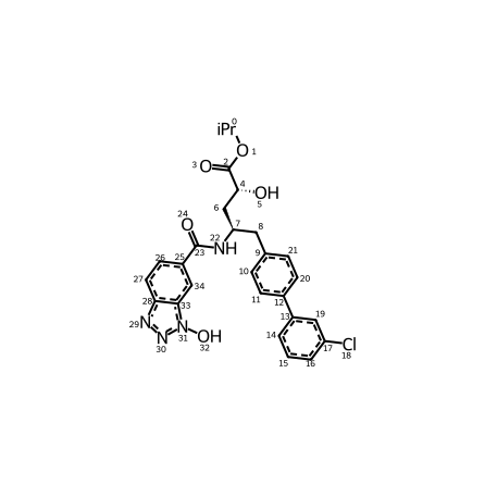 CC(C)OC(=O)[C@H](O)C[C@@H](Cc1ccc(-c2cccc(Cl)c2)cc1)NC(=O)c1ccc2nnn(O)c2c1